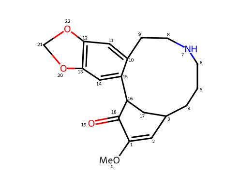 COC1=CC2CCCNCCc3cc4c(cc3C(C2)C1=O)OCO4